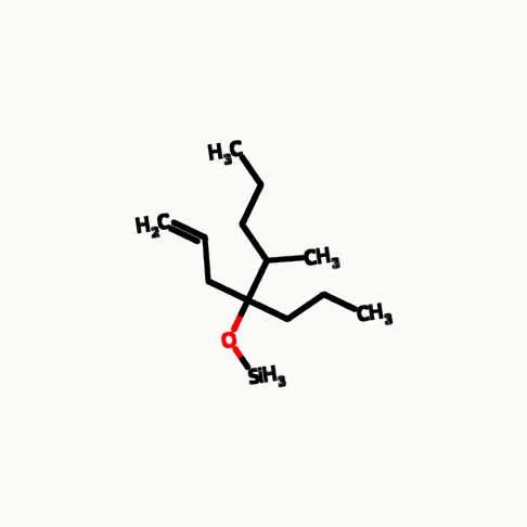 C=CCC(CCC)(O[SiH3])C(C)CCC